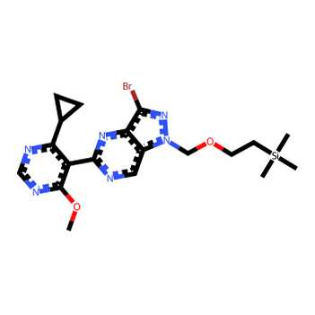 COc1ncnc(C2CC2)c1-c1ncc2c(n1)c(Br)nn2COCC[Si](C)(C)C